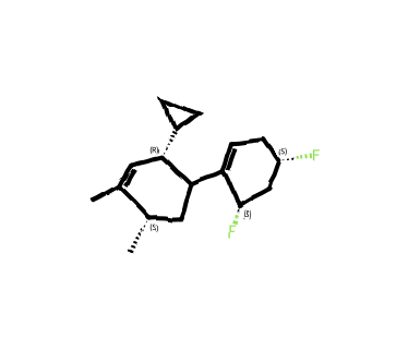 CC1=C[C@H](C2CC2)C(C2=CC[C@H](F)C[C@@H]2F)C[C@@H]1C